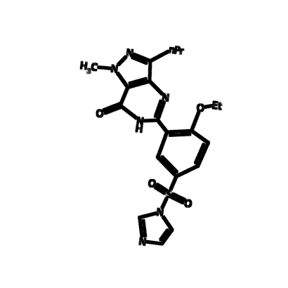 CCCc1nn(C)c2c(=O)[nH]c(-c3cc(S(=O)(=O)n4ccnc4)ccc3OCC)nc12